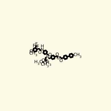 COc1ccc(CC(=O)Nc2ccc(C(=O)N(CC(=O)OC(C)(C)C)Cc3ccc(C(=O)OCC(=O)c4ccc(-c5ccc(C)cc5)cc4)cc3)cc2)c(C(F)(F)F)c1